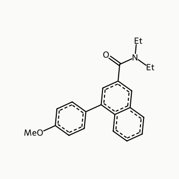 CCN(CC)C(=O)c1cc(-c2ccc(OC)cc2)c2ccccc2c1